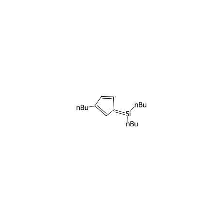 CCCCC1=CC(=[Si](CCCC)CCCC)[C]=C1